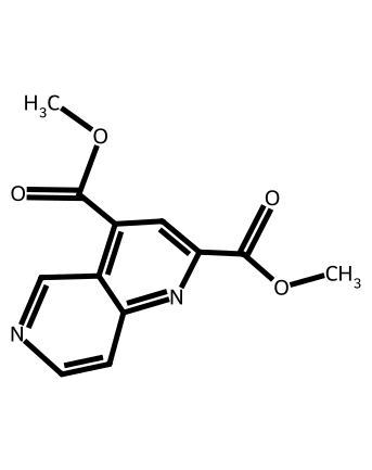 COC(=O)c1cc(C(=O)OC)c2cnccc2n1